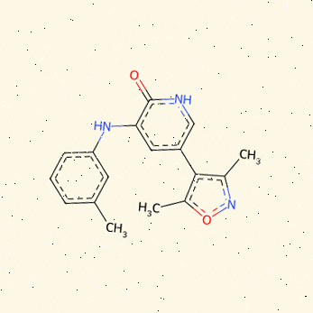 Cc1cccc(Nc2cc(-c3c(C)noc3C)c[nH]c2=O)c1